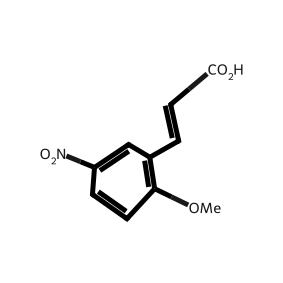 COc1ccc([N+](=O)[O-])cc1C=CC(=O)O